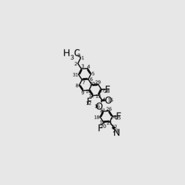 CCCc1ccc2c(ccc3c(F)c(C(=O)Oc4cc(F)c(C#N)c(F)c4)c(F)cc32)c1